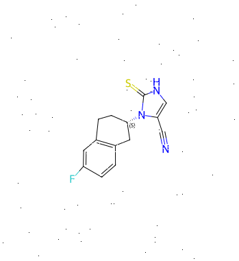 N#Cc1c[nH]c(=S)n1[C@H]1CCc2cc(F)ccc2C1